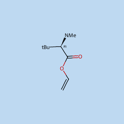 C=COC(=O)[C@H](NC)C(C)(C)C